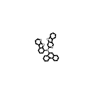 c1ccc2c(c1)cc(N(c1cc3oc4ccccc4c3cn1)c1cccc3c1oc1ncccc13)c1ccccc12